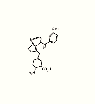 COc1cccc(NC2=NC=NN3CCC(CN4CC[C@@H](N)[C@H](C(=O)O)C4)=C23)c1